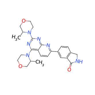 CC1COCCN1c1nc(N2CCOCC2C)c2ccc(-c3ccc4c(c3)C(=O)NC4)nc2n1